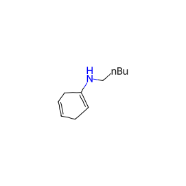 CCCCCNC1=CCC=CC1